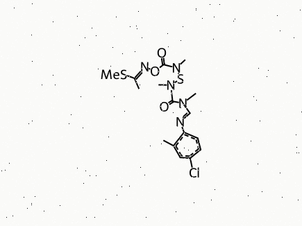 CSC(C)=NOC(=O)N(C)SN(C)C(=O)N(C)C=Nc1ccc(Cl)cc1C